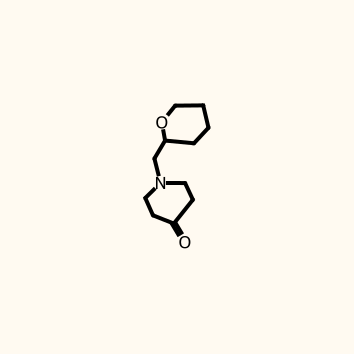 O=C1CCN(CC2CCCCO2)CC1